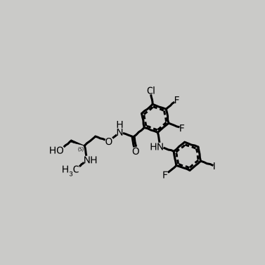 CN[C@@H](CO)CONC(=O)c1cc(Cl)c(F)c(F)c1Nc1ccc(I)cc1F